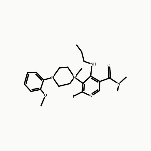 CCCNc1c(C(=O)N(C)C)cnc(I)c1[N+]1(C)CCN(c2ccccc2OC)CC1